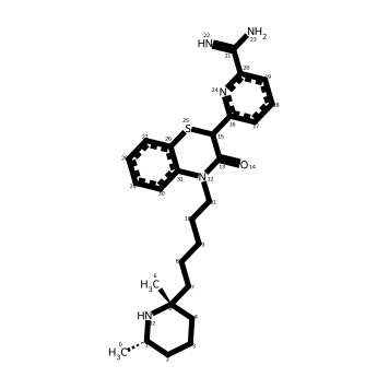 C[C@H]1CCC[C@@](C)(CCCCCN2C(=O)C(c3cccc(C(=N)N)n3)Sc3ccccc32)N1